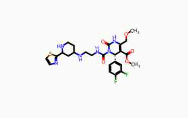 COCC1=C(C(=O)OC)[C@H](c2ccc(F)c(F)c2)N(C(=O)NCCNC2CCNC(c3nccs3)C2)C(=O)N1